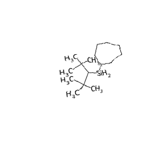 CC(C)(C)C([SiH2][C]1CCCCCC1)C(C)(C)C